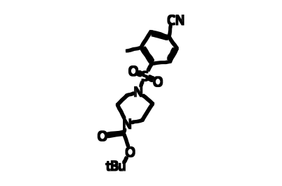 Cc1cc(C#N)ccc1S(=O)(=O)N1CCN(C(=O)OC(C)(C)C)CC1